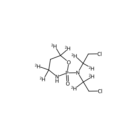 [2H]C1([2H])CC([2H])([2H])OP(=O)(N(C([2H])([2H])CCl)C([2H])([2H])CCl)N1